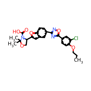 CCCOc1ccc(-c2nc(-c3ccc4oc(C5COC(C)(C)N5C(=O)O)cc4c3)no2)cc1Cl